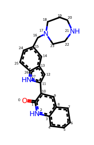 O=c1[nH]c2ccccc2cc1-c1cc2cc(CN3CCCNCC3)ccc2[nH]1